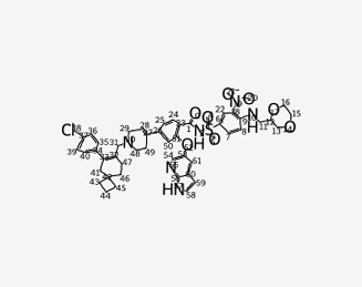 O=C(NS(=O)(=O)c1ccc(NCC2COCCO2)c([N+](=O)[O-])c1)c1ccc(C2=CCN(CC3=C(c4ccc(Cl)cc4)CC4(CCC4)CC3)CC2)cc1Oc1cnc2[nH]ccc2c1